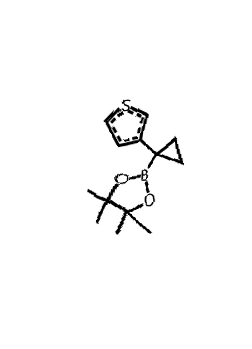 CC1(C)OB(C2(c3ccsc3)CC2)OC1(C)C